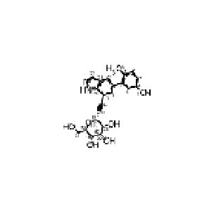 Cc1ccc(C#N)cc1-c1cc(C#C[C@H]2O[C@H](CO)[C@@H](O)[C@H](O)[C@@H]2O)c2[nH]ncc2c1